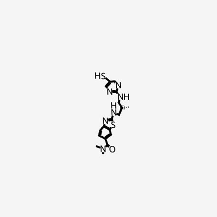 C[C@@H](CNc1ncc(S)cn1)CNc1nc2ccc(C(=O)N(C)C)cc2s1